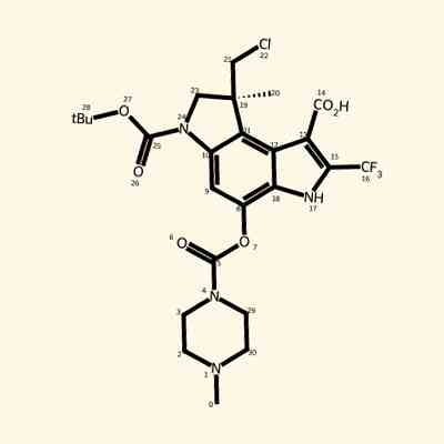 CN1CCN(C(=O)Oc2cc3c(c4c(C(=O)O)c(C(F)(F)F)[nH]c24)[C@](C)(CCl)CN3C(=O)OC(C)(C)C)CC1